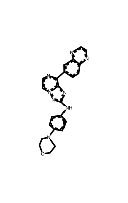 c1cn2nc(Nc3ccc(N4CCOCC4)cc3)nc2c(-c2ccc3nccnc3c2)n1